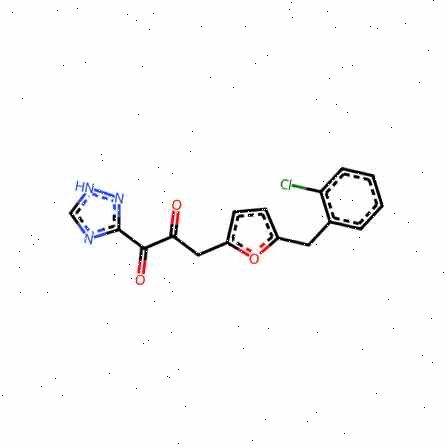 O=C(Cc1ccc(Cc2ccccc2Cl)o1)C(=O)c1nc[nH]n1